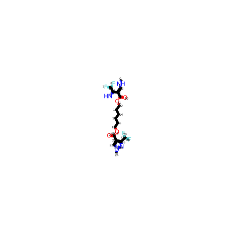 CN/C=C(\C(=N)C(F)F)C(=O)OCCCCCCOC(=O)c1cn(C)nc1C(F)F